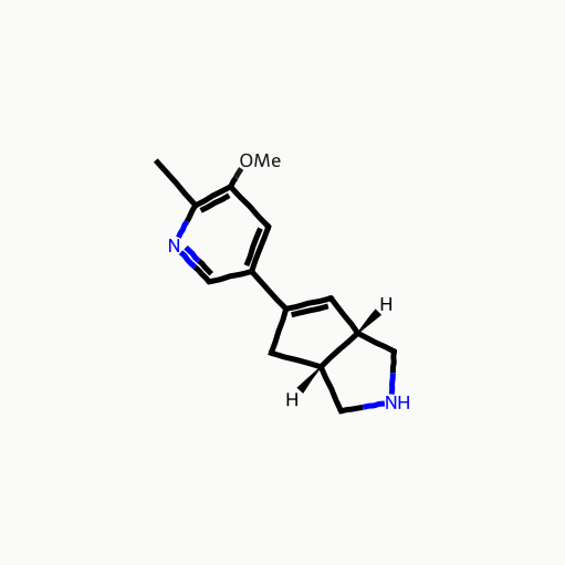 COc1cc(C2=C[C@@H]3CNC[C@@H]3C2)cnc1C